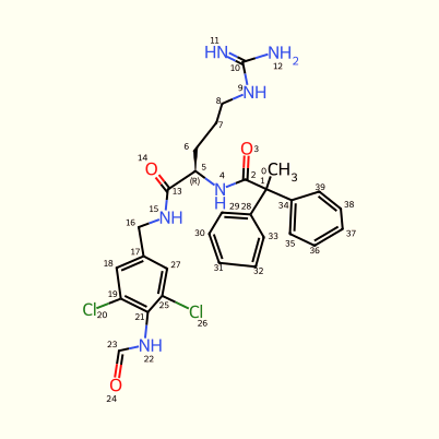 CC(C(=O)N[C@H](CCCNC(=N)N)C(=O)NCc1cc(Cl)c(NC=O)c(Cl)c1)(c1ccccc1)c1ccccc1